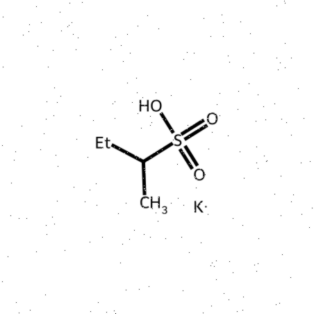 CCC(C)S(=O)(=O)O.[K]